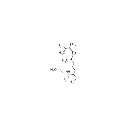 CCCNC(C)C(CC)CCCC(C)[C@@H]1C[C@@H]1C(C)C(C)C